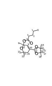 CCCCC(=O)OC1(C)C=C(C2OC(C)(C)C(C)(C)O2)CC(C)(C)O1